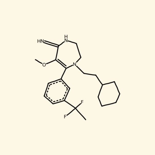 COC1=C(c2cccc(C(C)(F)F)c2)N(CCC2CCCCC2)CCNC1=N